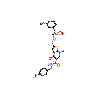 Cn1cc(C(=O)NCc2ccc(Cl)cc2)c(=O)c2cc(COC[C@@H](O)c3cccc(C#N)c3)sc21